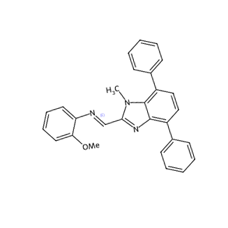 COc1ccccc1/N=C/c1nc2c(-c3ccccc3)ccc(-c3ccccc3)c2n1C